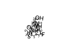 CC1=CSC(Cc2cc(F)cc(Cl)c2)N1NC(=O)C1C=C(CO)N(C)N1